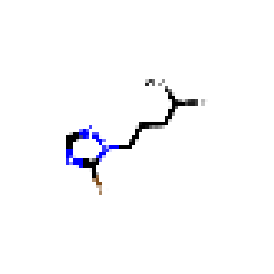 CCC(C=O)CCCn1ncnc1Br